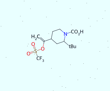 C=C(OS(=O)(=O)C(F)(F)F)C1CCN(C(=O)O)C(C(C)(C)C)C1